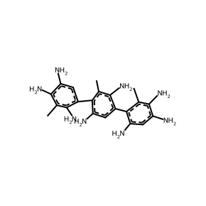 Cc1c(N)c(N)cc(-c2c(N)cc(-c3c(N)cc(N)c(N)c3C)c(N)c2C)c1N